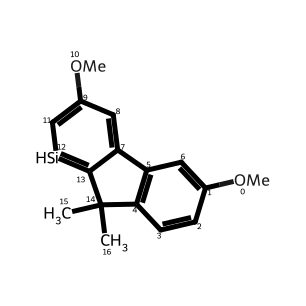 COc1ccc2c(c1)-c1cc(OC)c[siH]c1C2(C)C